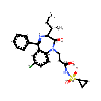 CC[C@H](C)C1N=C(c2ccccc2)c2cc(Cl)ccc2N(CCC(=O)NS(=O)(=O)C2CC2)C1=O